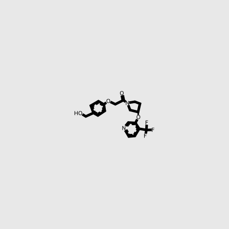 O=C(COc1ccc(CO)cc1)N1CC[C@@H](Oc2cnccc2C(F)(F)F)C1